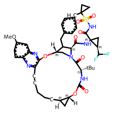 COc1ccc2nc3c(nc2c1)O[C@H]1CN(C(=O)[C@H](C(C)(C)C)NC(=O)O[C@@H]2C[C@H]2CCCCC3)[C@H](C(=O)N[C@]2(C(=O)NS(=O)(=O)C3(C)CC3)C[C@H]2C(F)F)C1Cc1ccccc1